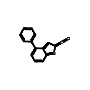 O=C=C1C=c2c(-c3ccccc3)cccc2=N1